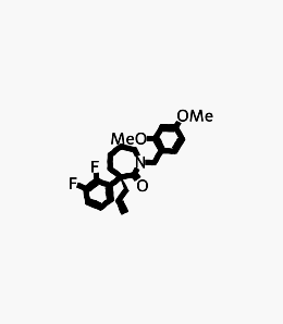 C=CC[C@@]1(c2cccc(F)c2F)CCCCN(Cc2ccc(OC)cc2OC)C1=O